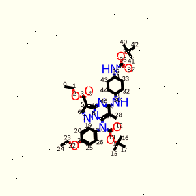 CCOC(=O)c1cnn2c(N(C(=O)OC(C)(C)C)c3ccc(OCC)cc3)c(C)c(NC3CCC(NC(=O)OC(C)(C)C)CC3)nc12